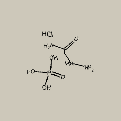 Cl.NNC(N)=O.O=P(O)(O)O